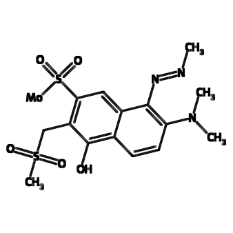 C/N=N/c1c(N(C)C)ccc2c(O)c(CS(C)(=O)=O)c([S](=O)(=O)[Mo])cc12